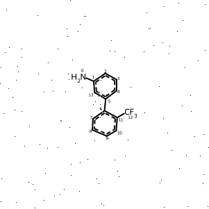 Nc1cccc(-c2ccccc2C(F)(F)F)c1